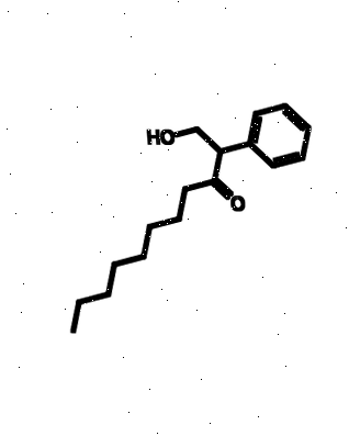 CCCCCCCCC(=O)C(CO)c1ccccc1